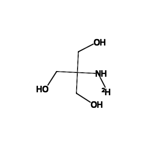 [2H]NC(CO)(CO)CO